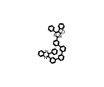 c1ccc(-c2nc3ccccc3nc2-c2cccc(-c3cccc(-c4cccc(-c5cccc(-c6nc(-c7ccccc7)c7c(n6)oc6ccccc67)c5)c4)c3)c2)cc1